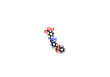 O=C(O)c1cccc(CNCc2ccc([C@H]3COc4ccccc4O3)cc2)c1